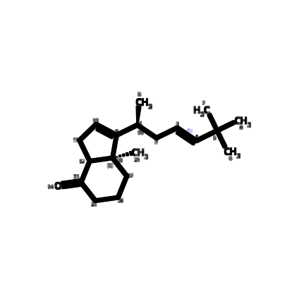 C[C@@H](C/C=C/C(C)(C)C)C1=CCC2C(=O)CCC[C@]12C